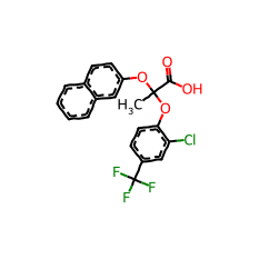 CC(Oc1ccc2ccccc2c1)(Oc1ccc(C(F)(F)F)cc1Cl)C(=O)O